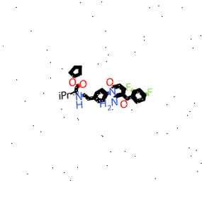 CC(C)[C@H](NCCc1ccc(-n2c(N)c(C(=O)c3ccc(F)cc3F)ccc2=O)cc1)C(=O)OC1CCCC1